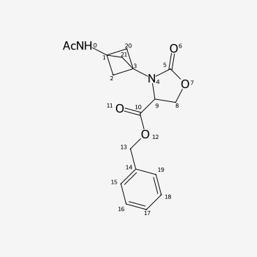 CC(=O)NC12CC(N3C(=O)OCC3C(=O)OCc3ccccc3)(C1)C2